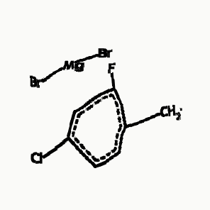 [Br][Mg][Br].[CH2]c1ccc(Cl)cc1F